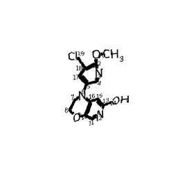 COc1ncc(N2CCOc3cnc(O)cc32)cc1Cl